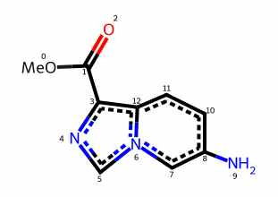 COC(=O)c1ncn2cc(N)ccc12